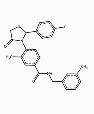 Cc1cccc(CNC(=O)c2ccc(N3C(=O)CSC3c3ccc(F)cc3)c(C)c2)c1